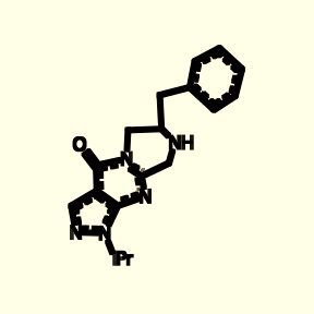 CC(C)n1ncc2c(=O)n3c(nc21)CNC(Cc1ccccc1)C3